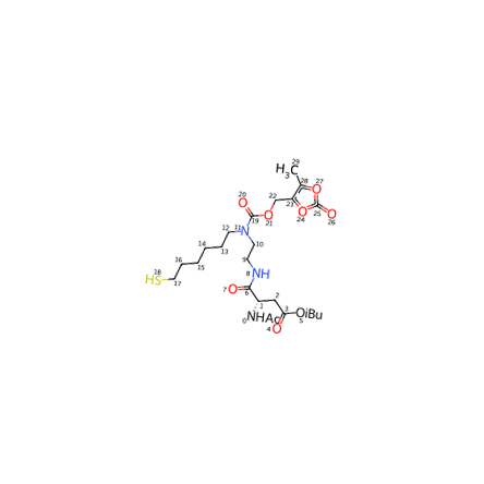 CC(=O)N[C@@H](CC(=O)OCC(C)C)C(=O)NCCN(CCCCCCS)C(=O)OCc1oc(=O)oc1C